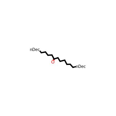 CCCCCCCCCCCCCCCCC(=O)CCCCCCCCCCCCCC